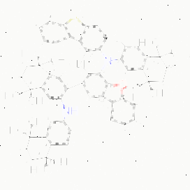 Cc1cc2c(cc1N1c3ccc4sc5ccccc5c4c3Bc3c(-c4cc5c(cc4Nc4ccc6c(c4)C(C)(C)CCC6(C)C)C(C)(C)CCC5(C)C)cc4c(oc5ccccc54)c31)C(C)(C)CCC2(C)C